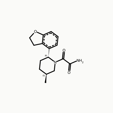 C[C@H]1CC[C@H](c2cccc3c2CCO3)N(C(=O)C(N)=O)C1